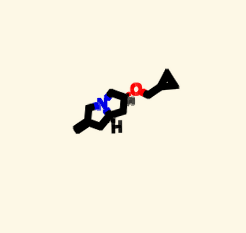 C=C1C[C@@H]2C[C@@H](OCC3CC3)CN2C1